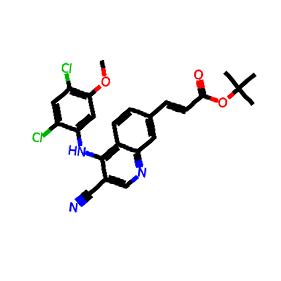 COc1cc(Nc2c(C#N)cnc3cc(C=CC(=O)OC(C)(C)C)ccc23)c(Cl)cc1Cl